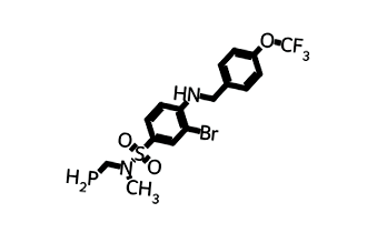 CN(CP)S(=O)(=O)c1ccc(NCc2ccc(OC(F)(F)F)cc2)c(Br)c1